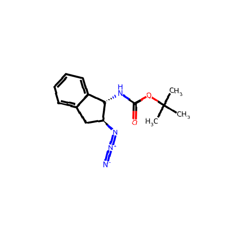 CC(C)(C)OC(=O)N[C@H]1c2ccccc2C[C@@H]1N=[N+]=[N-]